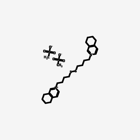 CS(=O)(=O)[O-].CS(=O)(=O)[O-].c1c[n+](CCCCSSCCCC[n+]2ccc3c(c2)CCCC3)cc2c1CCCC2